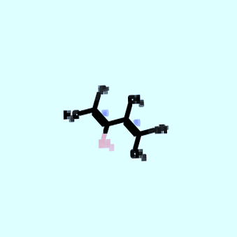 BC(=C(\C)C(C)C)/C(C)=C(\C)CCC